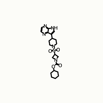 O=C(OC1CCCCC1)N1CC(S(=O)(=O)N2CCC(c3c[nH]c4nccnc34)CC2)C1